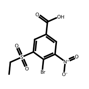 CCS(=O)(=O)c1cc(C(=O)O)cc([N+](=O)[O-])c1Br